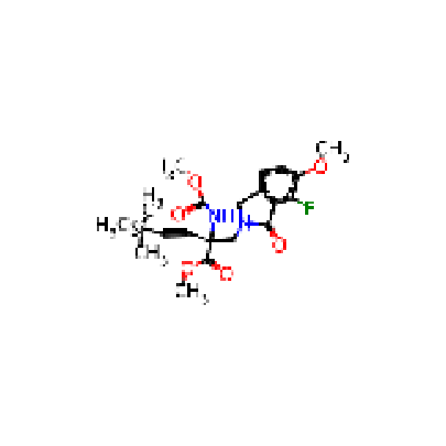 COC(=O)N[C@](C#C[Si](C)(C)C)(CN1Cc2ccc(OC)c(F)c2C1=O)C(=O)OC